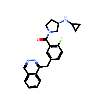 O=C(c1cc(Cc2nncc3ccccc23)ccc1F)N1CC[C@@H](NC2CC2)C1